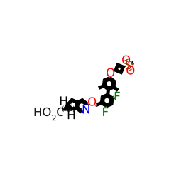 Cc1cc(O[C@H]2C[C@H](S(C)(=O)=O)C2)cc(C)c1-c1cc(COc2cc3c(cn2)[C@H]2[C@@H](C3)[C@@H]2C(=O)O)c(F)cc1F